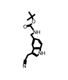 CC(C)(C)OC(=O)NCc1ccc2[nH]cc(CC#N)c2c1